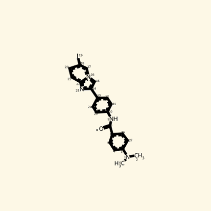 CN(C)c1ccc(C(=O)Nc2ccc(-c3cn4cc(I)ccc4n3)cc2)cc1